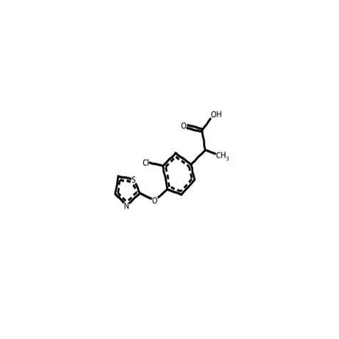 CC(C(=O)O)c1ccc(Oc2nccs2)c(Cl)c1